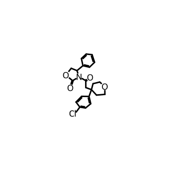 O=C(CC1(c2ccc(Cl)cc2)CCOCC1)N1C(=O)OCC1c1ccccc1